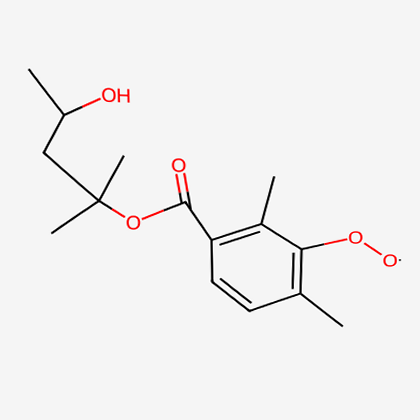 Cc1ccc(C(=O)OC(C)(C)CC(C)O)c(C)c1O[O]